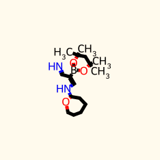 CC1(C)CC(C)(C)OB(/C(C=N)=C/NC2CCCCCO2)O1